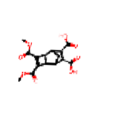 COC(=O)C1=C(C(=O)OC)C2C1C1CC2[C@H](C(=O)O)[C@@H]1C(=O)O